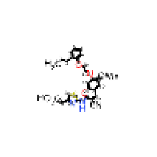 C=CCc1ccccc1OCCOc1ccc(C=C(C#N)C(=O)Nc2nc(CC(=O)O)cs2)cc1OC